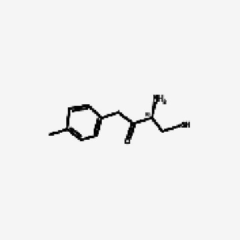 Cc1ccc([CH]C(=O)[C@@H](N)CS)cc1